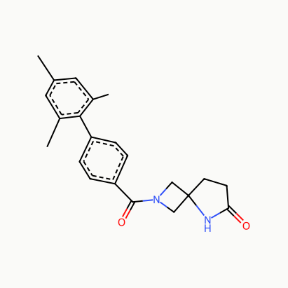 Cc1cc(C)c(-c2ccc(C(=O)N3CC4(CCC(=O)N4)C3)cc2)c(C)c1